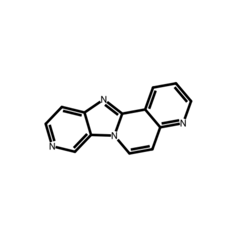 c1cnc2ccn3c4cnccc4nc3c2c1